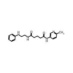 Cc1ccc(NC(=O)CCCC(=O)NCCNc2ccccc2)cn1